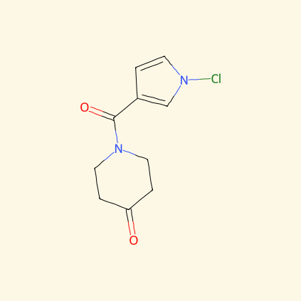 O=C1CCN(C(=O)c2ccn(Cl)c2)CC1